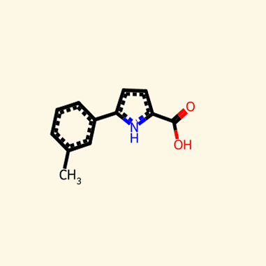 Cc1cccc(-c2ccc(C(=O)O)[nH]2)c1